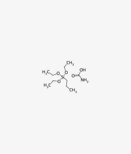 CCC[Si](OCC)(OCC)OCC.NC(=O)O